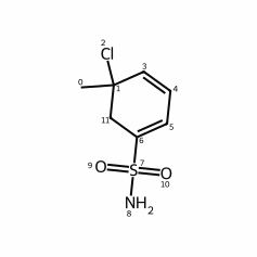 CC1(Cl)C=CC=C(S(N)(=O)=O)C1